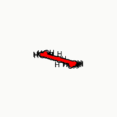 N[C@@H](CC(=O)NCCOCCOCCOCCOCCOCCOCCOCCOCCN(C[C@H](O)[C@@H](O)[C@H](O)[C@H](O)CO)C[C@H](O)[C@@H](O)[C@H](O)[C@H](O)CO)C(=O)NCCOCCOCCOCCOCCOCCOCCOCCOCCN(C[C@H](O)[C@@H](O)[C@H](O)[C@H](O)CO)C[C@H](O)[C@@H](O)[C@H](O)[C@H](O)CO